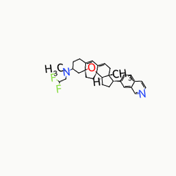 CN(CC(F)F)C1CCC2=CC3=CC[C@]4(C)[C@@H](c5ccc6ccncc6c5)CC[C@H]4[C@@]34CC[C@]2(C1)O4